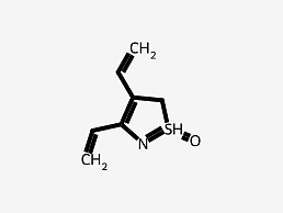 C=CC1=C(C=C)N=[SH](=O)C1